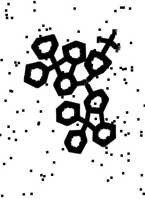 FC(F)(F)c1ccc(N(c2ccc3c(c2)C(c2ccccc2)(c2ccccc2)c2ccccc2-3)c2cccc3c2-c2ccccc2C3(c2ccccc2)c2ccccc2)cc1